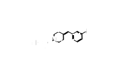 O=C(O)N1CCC(=Cc2cccc(I)c2)CC1